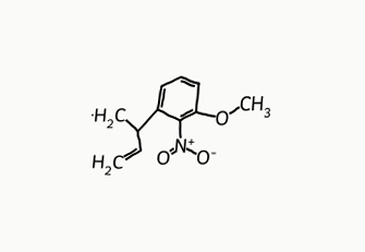 [CH2]C(C=C)c1cccc(OC)c1[N+](=O)[O-]